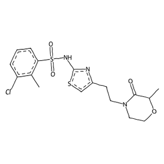 Cc1c(Cl)cccc1S(=O)(=O)Nc1nc(CCN2CCOC(C)C2=O)cs1